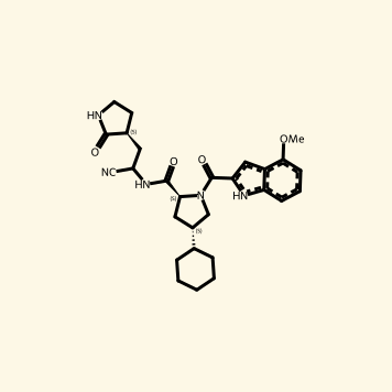 COc1cccc2[nH]c(C(=O)N3C[C@H](C4CCCCC4)C[C@H]3C(=O)NC(C#N)C[C@@H]3CCNC3=O)cc12